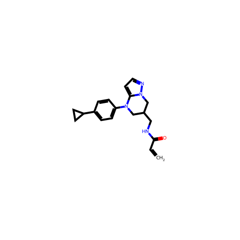 C=CC(=O)NCC1CN(c2ccc(C3CC3)cc2)c2ccnn2C1